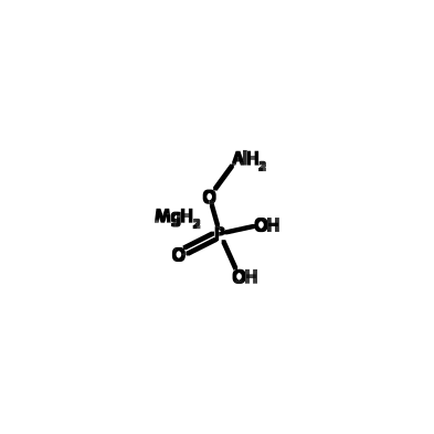 O=P(O)(O)[O][AlH2].[MgH2]